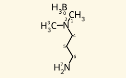 B.CN(C)CCCN